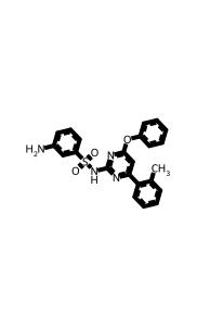 Cc1ccccc1-c1cc(Oc2ccccc2)nc(NS(=O)(=O)c2cccc(N)c2)n1